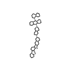 c1ccc2c(-c3c4ccccc4c(-c4ccc5cc(-c6ccc7cc8sc9c(ccc%10c%11ccccc%11sc%109)c8cc7c6)ccc5c4)c4ccccc34)cccc2c1